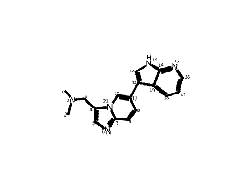 CN(C)Cc1cnc2ccc(-c3c[nH]c4ncccc34)cn12